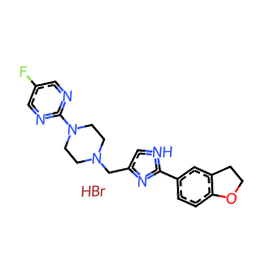 Br.Fc1cnc(N2CCN(Cc3c[nH]c(-c4ccc5c(c4)CCO5)n3)CC2)nc1